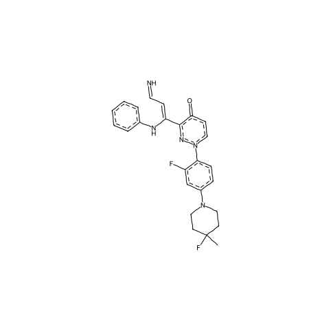 CC1(F)CCN(c2ccc(-n3ccc(=O)c(/C(=C/C=N)Nc4ccccc4)n3)c(F)c2)CC1